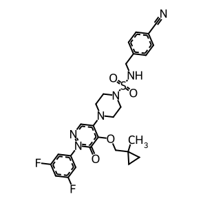 CC1(COc2c(N3CCN(S(=O)(=O)NCc4ccc(C#N)cc4)CC3)cnn(-c3cc(F)cc(F)c3)c2=O)CC1